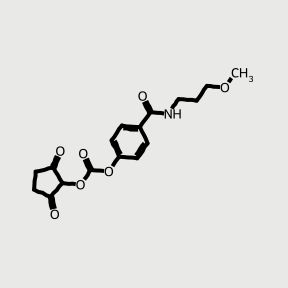 COCCCNC(=O)c1ccc(OC(=O)OC2C(=O)CCC2=O)cc1